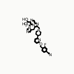 CCn1cncc1Cc1c(CN2CCC(c3cccc(OCc4ccc(C#N)cc4F)n3)CC2)nc2cnc(C(=O)O)cn12